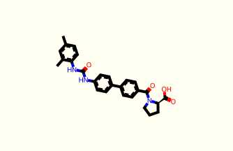 Cc1ccc(NC(=O)Nc2ccc(-c3ccc(C(=O)N4CCC[C@@H]4C(=O)O)cc3)cc2)c(C)c1